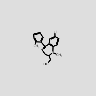 Cc1ccccc1C1=NCC(CO)N(C)c2ccc(Cl)cc21